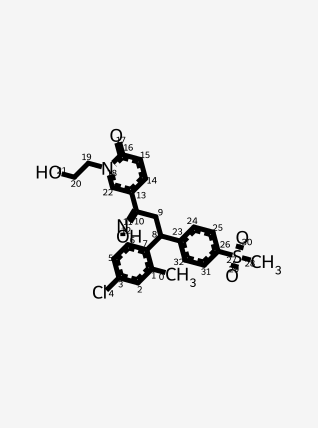 Cc1cc(Cl)ccc1C(C/C(=N\O)c1ccc(=O)n(CCO)c1)c1ccc(S(C)(=O)=O)cc1